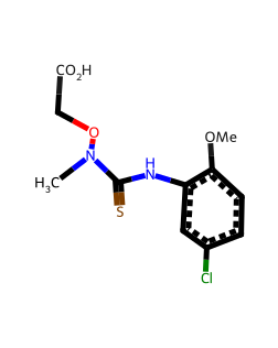 COc1ccc(Cl)cc1NC(=S)N(C)OCC(=O)O